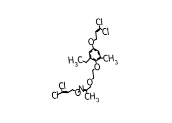 CCc1cc(OCC=C(Cl)Cl)cc(C)c1OCCOCC(C)=NOCC=C(Cl)Cl